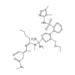 BC(B)(c1ccc(-c2ccccc2S(=O)(=O)Nc2noc(C)c2C)c(COCC)c1)N(C)/C(CCCC)=N\C(C)=C(/C=O)CC(=S)N(C)C